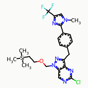 Cn1cc(C(F)(F)F)nc1-c1ccc(Cc2nn(COCC[Si](C)(C)C)c3cnc(Cl)nc23)cc1